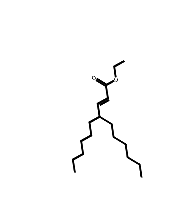 CCCCCCC(/C=C/C(=O)OCC)CCCCCC